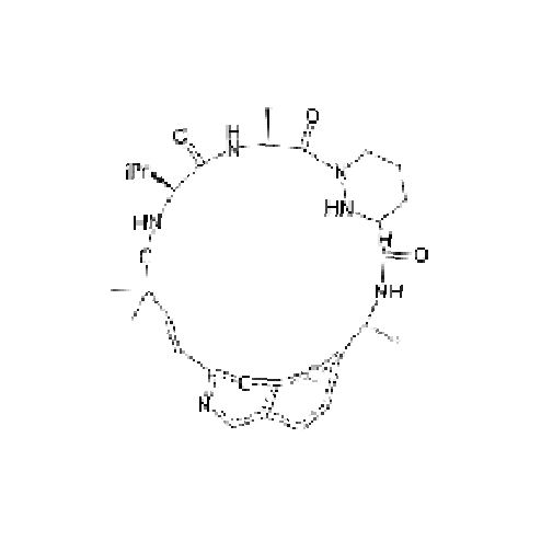 CC(C)[C@@H]1NCC(C)(C)/C=C/c2cc3cc(ccc3cn2)[C@@H](C)NC(=O)[C@@H]2CCCN(N2)C(=O)[C@H](C)NC1=O